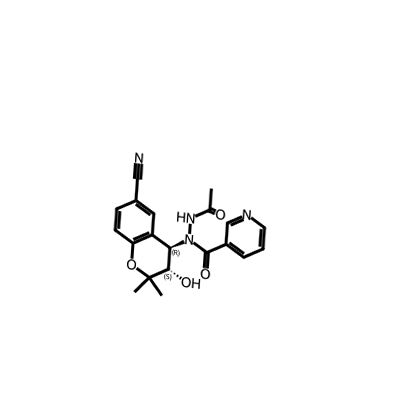 CC(=O)NN(C(=O)c1cccnc1)[C@@H]1c2cc(C#N)ccc2OC(C)(C)[C@H]1O